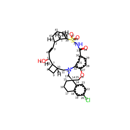 C[C@H]1[C@H]2/C=C/[C@H](O)[C@@H]3CC[C@H]3CN3C[C@@]4(CCCc5cc(Cl)ccc54)COc4ccc(cc43)C(=O)NS(=O)(=O)[C@H]1CCC2